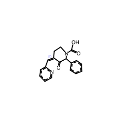 O=C1/C(=C\c2ccccn2)CCN(C(=O)O)C1c1ccccc1